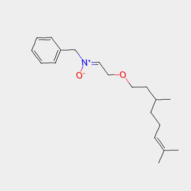 CC(C)=CCCC(C)CCOC/C=[N+](\[O-])Cc1ccccc1